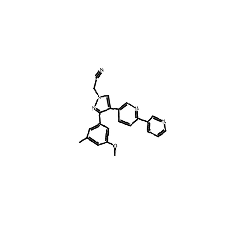 COc1cc(C)cc(-c2nn(CC#N)cc2-c2ccc(-c3cccnc3)nc2)c1